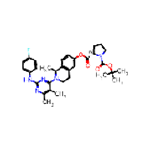 Cc1nc(Nc2ccc(F)cc2)nc(N2CCc3cc(OC(=O)[C@@H]4CCCN4C(=O)OC(C)(C)C)ccc3C2C)c1C